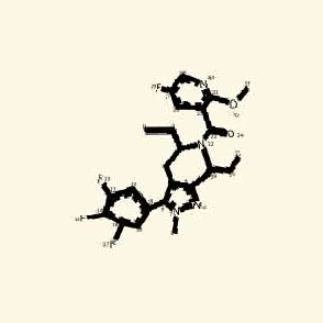 CCC1Cc2c(nn(C)c2-c2cc(F)c(F)c(F)c2)C(CC)N1C(=O)c1cc(F)cnc1OC